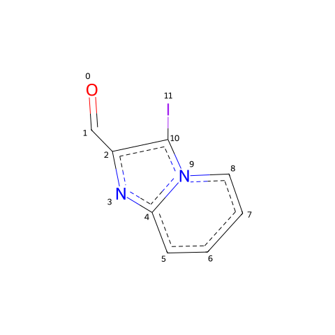 O=Cc1nc2ccccn2c1I